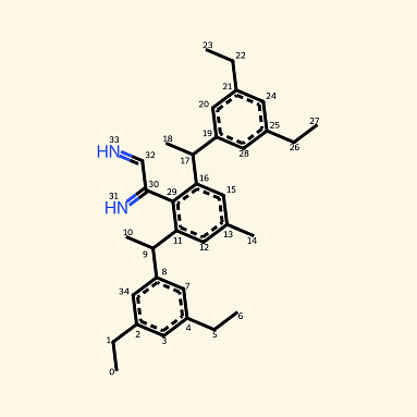 CCc1cc(CC)cc(C(C)c2cc(C)cc(C(C)c3cc(CC)cc(CC)c3)c2C(=N)C=N)c1